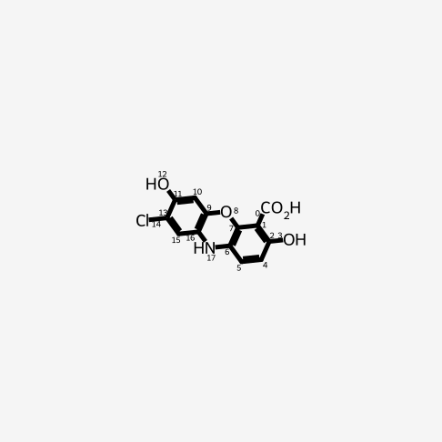 O=C(O)c1c(O)ccc2c1Oc1cc(O)c(Cl)cc1N2